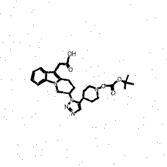 CC(C)(C)OC(=O)ON1CCC(c2cnnn2C2CCc3c(CC(=O)O)c4ccccc4n3C2)CC1